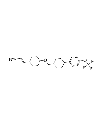 N#CC=CC1CCC(OCC2CCC(c3ccc(OC(F)(F)F)cc3)CC2)CC1